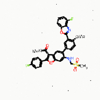 CNC(=O)c1c(-c2ccc(F)cc2)oc2cc(NCS(C)(=O)=O)c(-c3ccc(OC)c(-c4nc5c(F)cccc5o4)c3)cc12